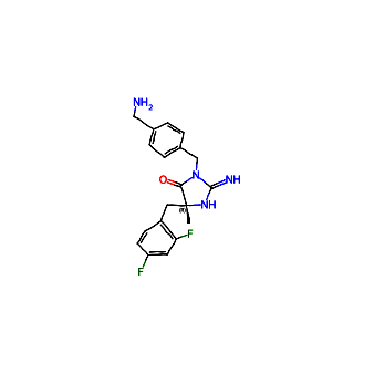 C[C@]1(Cc2ccc(F)cc2F)NC(=N)N(Cc2ccc(CN)cc2)C1=O